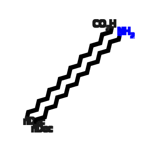 CCCCCCCCCCCCCCCCCCCCCCCCCCC(=O)O.CCCCCCCCCCCCCCCCCCCCCCCCCCN